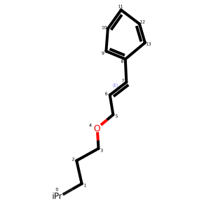 CC(C)CCCOC/C=C/c1ccccc1